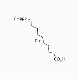 CCCCCCCCCCCCCCCCC(=O)O.[Ca]